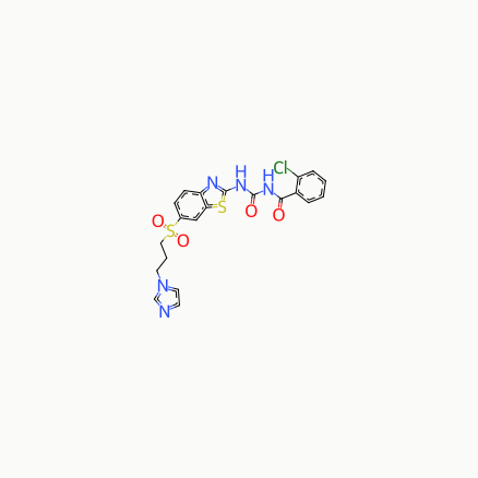 O=C(NC(=O)c1ccccc1Cl)Nc1nc2ccc(S(=O)(=O)CCCn3ccnc3)cc2s1